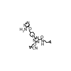 N#CC1(COc2nc(C(=O)NCCC3CC3)nc(N3CCC(COc4cncnc4N)CC3)n2)CC1